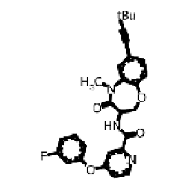 CN1C(=O)C(NC(=O)c2cc(Oc3cccc(F)c3)ccn2)COc2ccc(C#CC(C)(C)C)cc21